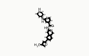 Cc1coc(-c2ccc3cnc(NC(=O)c4ccnc(NC5CCNCC5)c4)cc3c2)c1